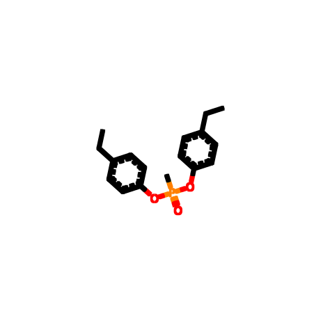 CCc1ccc(OP(C)(=O)Oc2ccc(CC)cc2)cc1